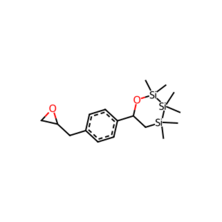 C[Si]1(C)CC(c2ccc(CC3CO3)cc2)O[Si](C)(C)[Si]1(C)C